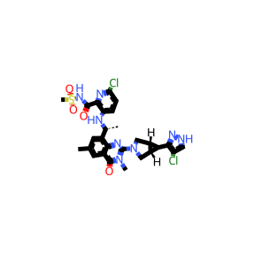 Cc1cc([C@@H](C)Nc2ccc(Cl)nc2C(=O)NS(C)(=O)=O)c2nc(N3C[C@@H]4C(c5n[nH]cc5Cl)[C@@H]4C3)n(C)c(=O)c2c1